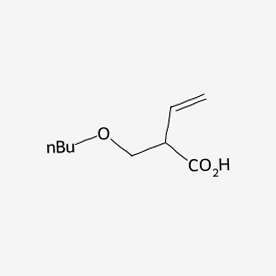 C=CC(COCCCC)C(=O)O